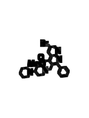 COC(=O)c1c(CN2CCC(N3CCCCC3)CC2)c(-c2ccccc2)nc2ncc(Br)cc12